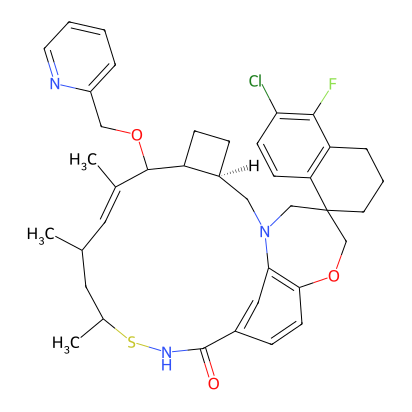 C/C1=C\C(C)CC(C)SNC(=O)c2ccc3c(c2)N(C[C@@H]2CCC2C1OCc1ccccn1)CC1(CCCc2c1ccc(Cl)c2F)CO3